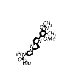 COc1c(-c2ccc3nc(N4CCC(N(C(=O)OC(C)(C)C)C(C)C)C4)ccc3n2)cc2oc(C)nc2c1C